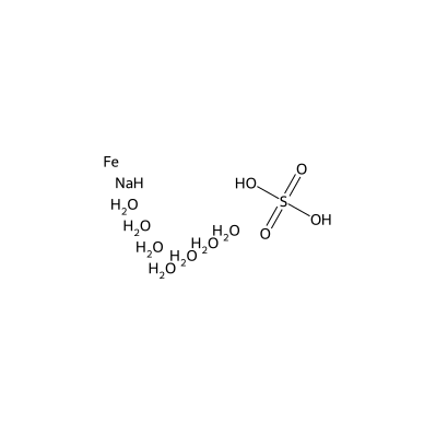 O.O.O.O.O.O.O.O=S(=O)(O)O.[Fe].[NaH]